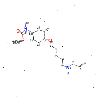 C=CCN(C)CCCCCOC1CCC(N(C)C(=O)OC(C)(C)C)CC1